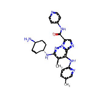 Cc1ccc(Nc2c(C)c(N[C@H]3CC[C@H](N)CC3)nn3c(C(=O)Nc4ccncc4)cnc23)nc1